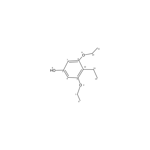 CCOc1cc(O)cc(OCC)c1CC